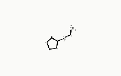 C[CH2][Ru][CH]1CCCC1